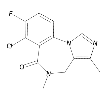 Cc1ncn2c1CN(C)C(=O)c1c-2ccc(F)c1Cl